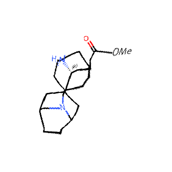 COC(=O)C[C@@H](N)C1CC2CCC(C1)N2C1CCCCC1